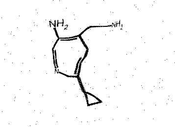 NCc1cc(C2CC2)ncc1N